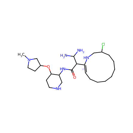 CN1CCC(OC2CCNCC2NC(=O)C(/C2=C/CCCCCCCC(Cl)CN2)C(N)N)C1